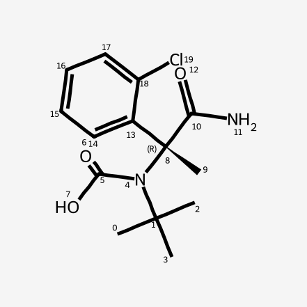 CC(C)(C)N(C(=O)O)[C@@](C)(C(N)=O)c1ccccc1Cl